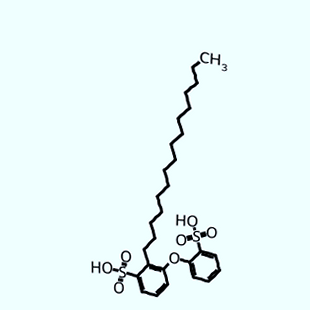 CCCCCCCCCCCCCCCCc1c(Oc2ccccc2S(=O)(=O)O)cccc1S(=O)(=O)O